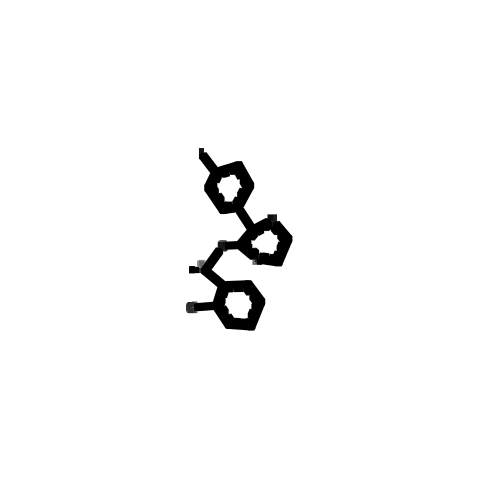 C[C@H](Oc1nccnc1-c1ccc(I)cc1)c1ccccc1Cl